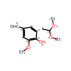 CCOC(C)OCC.CCOc1cc(C=O)ccc1O